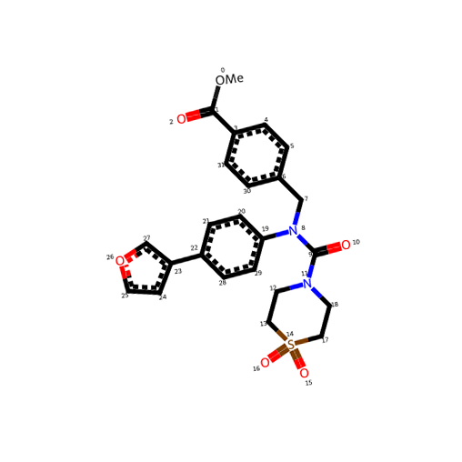 COC(=O)c1ccc(CN(C(=O)N2CCS(=O)(=O)CC2)c2ccc(-c3ccoc3)cc2)cc1